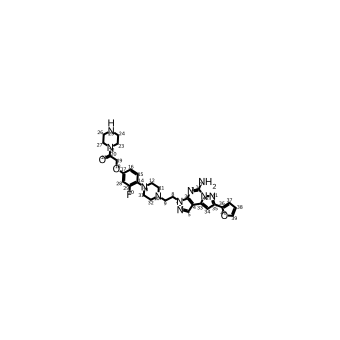 Nc1nc2c(cnn2CCN2CCN(c3ccc(OCC(=O)N4CCNCC4)cc3F)CC2)c2cc(-c3ccco3)nn12